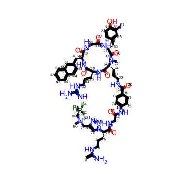 C=C(N)NCCC[C@@H](C(=O)NCC(=O)Nc1ccc(C(=O)NCCC[C@@H]2C(=O)N[C@@H](CCCNC(=N)N)C(=O)N[C@@H](Cc3ccc4ccccc4c3)C(=O)NCC(=O)N[C@H](Cc3ccc(O)c(I)c3)C(=O)N2C)cc1)n1cc(C[N+](C)(C)C[B-](F)(F)F)nn1